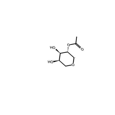 CC(=O)O[C@@H]1[CH]OC[C@@H](O)[C@H]1O